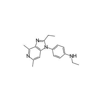 CCNc1ccc(-n2c(CC)nc3c(C)nc(C)cc32)cc1